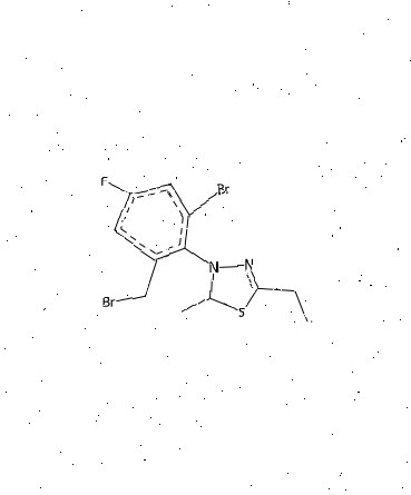 [CH2]CC1=NN(c2c(Br)cc(F)cc2CBr)C(C)S1